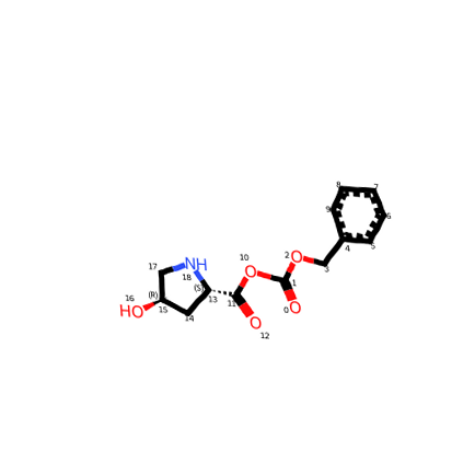 O=C(OCc1ccccc1)OC(=O)[C@@H]1C[C@@H](O)CN1